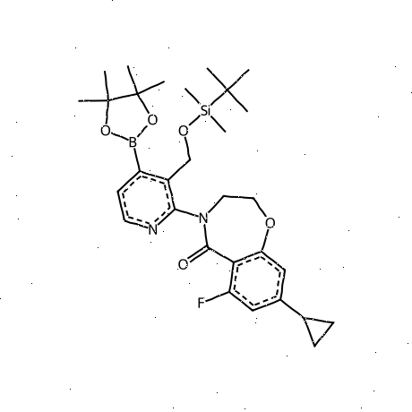 CC1(C)OB(c2ccnc(N3CCOc4cc(C5CC5)cc(F)c4C3=O)c2CO[Si](C)(C)C(C)(C)C)OC1(C)C